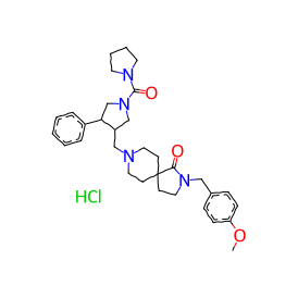 COc1ccc(CN2CCC3(CCN(CC4CN(C(=O)N5CCCC5)CC4c4ccccc4)CC3)C2=O)cc1.Cl